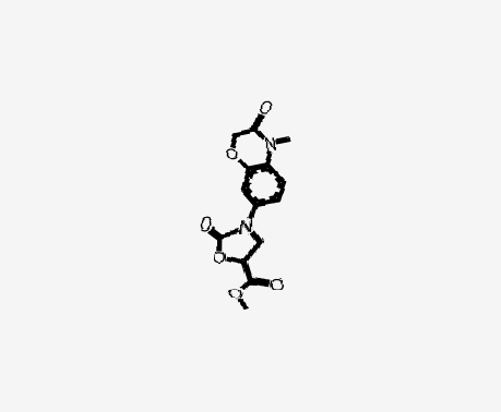 COC(=O)C1CN(c2ccc3c(c2)OCC(=O)N3C)C(=O)O1